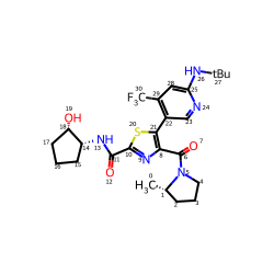 C[C@H]1CCCN1C(=O)c1nc(C(=O)N[C@@H]2CCC[C@@H]2O)sc1-c1cnc(NC(C)(C)C)cc1C(F)(F)F